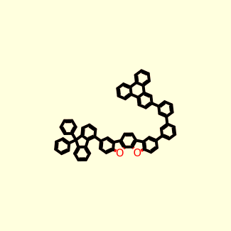 c1ccc(C2(c3ccccc3)c3ccccc3-c3c(-c4ccc5oc6c(ccc7c8cc(-c9cccc(-c%10cccc(-c%11ccc%12c%13ccccc%13c%13ccccc%13c%12c%11)c%10)c9)ccc8oc76)c5c4)cccc32)cc1